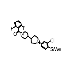 CSc1ccc(N2CCC(C3CCN(C(=O)c4c(F)cccc4F)CC3)CC2)cc1Cl